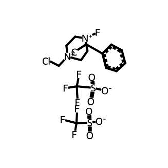 F[N+]12CC[N+](CCl)(CC1)CC2c1ccccc1.O=S(=O)([O-])C(F)(F)F.O=S(=O)([O-])C(F)(F)F